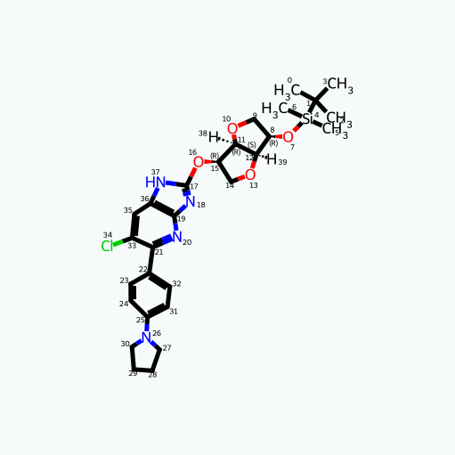 CC(C)(C)[Si](C)(C)O[C@@H]1CO[C@H]2[C@@H]1OC[C@H]2Oc1nc2nc(-c3ccc(N4CCCC4)cc3)c(Cl)cc2[nH]1